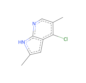 Cc1cc2c(Cl)c(C)cnc2[nH]1